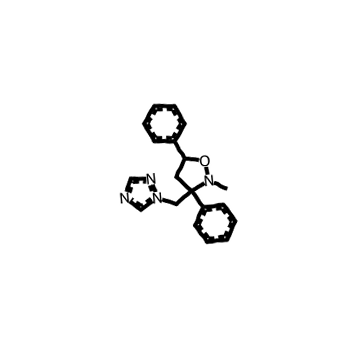 CN1OC(c2ccccc2)CC1(Cn1cncn1)c1ccccc1